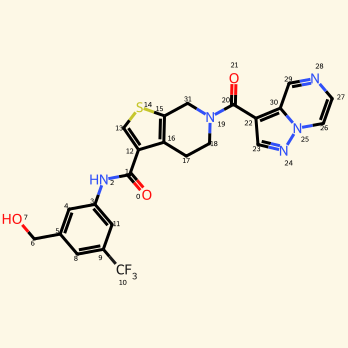 O=C(Nc1cc(CO)cc(C(F)(F)F)c1)c1csc2c1CCN(C(=O)c1cnn3ccncc13)C2